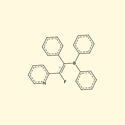 F/C(=C(\B(c1ccccc1)c1ccccc1)c1ccccc1)c1ccccn1